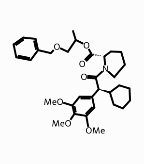 COc1cc([C@@H](C(=O)N2CCCC[C@H]2C(=O)OC(C)COCc2ccccc2)C2CCCCC2)cc(OC)c1OC